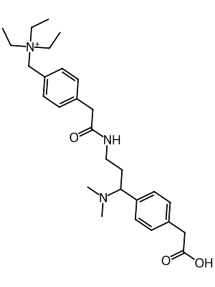 CC[N+](CC)(CC)Cc1ccc(CC(=O)NCCC(c2ccc(CC(=O)O)cc2)N(C)C)cc1